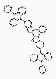 C1=CCC2C(=C1)C(c1ccccc1)=c1ccccc1=C2C1=CC2Oc3c(c4ccccc4c4c3oc3cc(-c5c6ccccc6c(-c6ccccc6)c6ccccc56)ccc34)C2C=C1